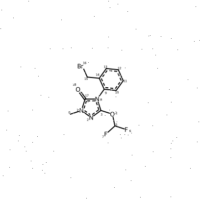 Cn1nc(OC(F)F)n(-c2ccccc2CBr)c1=O